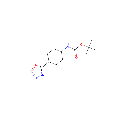 Cc1nnc(C2CCC(NC(=O)OC(C)(C)C)CC2)o1